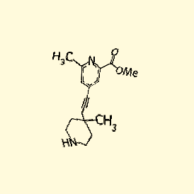 COC(=O)c1cc(C#CC2(C)CCNCC2)cc(C)n1